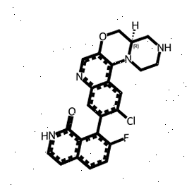 O=c1[nH]ccc2ccc(F)c(-c3cc4ncc5c(c4cc3Cl)N3CCNC[C@@H]3CO5)c12